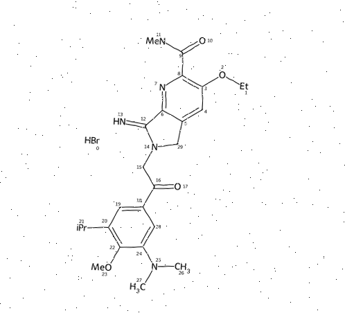 Br.CCOc1cc2c(nc1C(=O)NC)C(=N)N(CC(=O)c1cc(C(C)C)c(OC)c(N(C)C)c1)C2